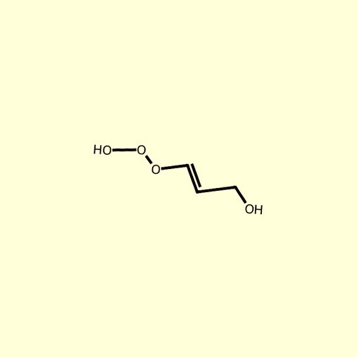 OCC=COOO